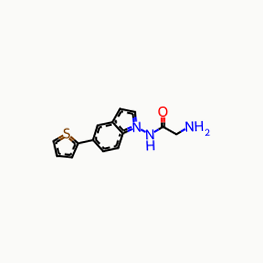 NCC(=O)Nn1ccc2cc(-c3cccs3)ccc21